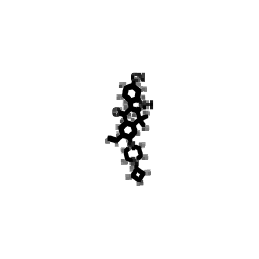 C=Cc1cc2c(cc1N1CCN(C3CCC3)CC1)C(C)(C)c1[nH]c3cc(C#N)ccc3c1C2=O